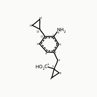 Nc1cc(CC2(C(=O)O)CC2)ccc1C1CC1